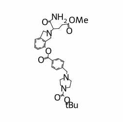 COC(=O)CCC(C(N)=O)N1Cc2cccc(OC(=O)c3ccc(CN4CCN(C(=O)OC(C)(C)C)CC4)cc3)c2C1